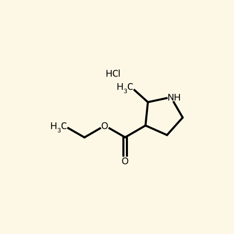 CCOC(=O)C1CCNC1C.Cl